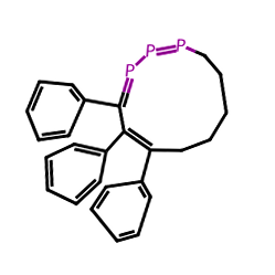 c1ccc(C2=PP=PCCCCCC(c3ccccc3)=C2c2ccccc2)cc1